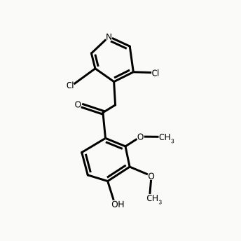 COc1c(O)ccc(C(=O)Cc2c(Cl)cncc2Cl)c1OC